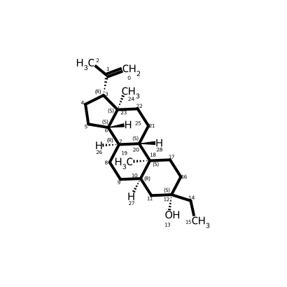 C=C(C)[C@H]1CC[C@H]2[C@@H]3CC[C@@H]4C[C@](O)(CC)CC[C@]4(C)[C@H]3CC[C@]12C